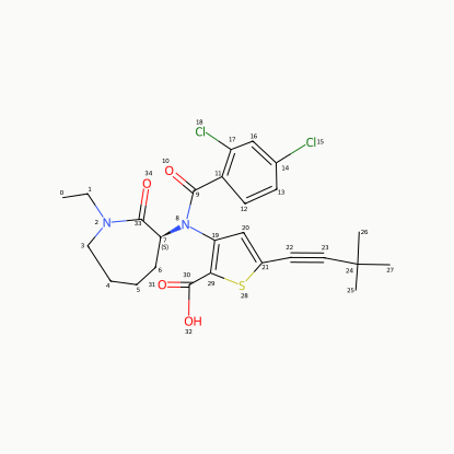 CCN1CCCC[C@H](N(C(=O)c2ccc(Cl)cc2Cl)c2cc(C#CC(C)(C)C)sc2C(=O)O)C1=O